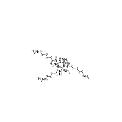 NCCCCCCNC1(N)NC(N)(NCCCCCCN)NC(N)(NCCCCCCN)N1